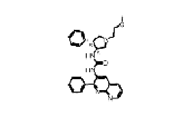 COCCN1C[C@@H](NC(=O)Nc2cc3cccnc3nc2-c2ccccc2)[C@H](c2ccccc2)C1